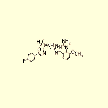 COc1cccc2c1nc(N)n1nc(CN[C@@H](C)c3ncc(-c4ccc(F)cc4)o3)nc21